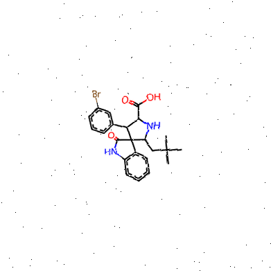 CC(C)(C)CC1NC(C(=O)O)C(c2cccc(Br)c2)C12C(=O)Nc1ccccc12